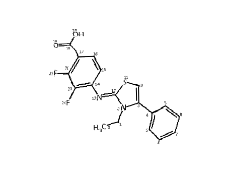 CCn1c(-c2ccccc2)csc1=Nc1ccc(C(=O)O)c(F)c1F